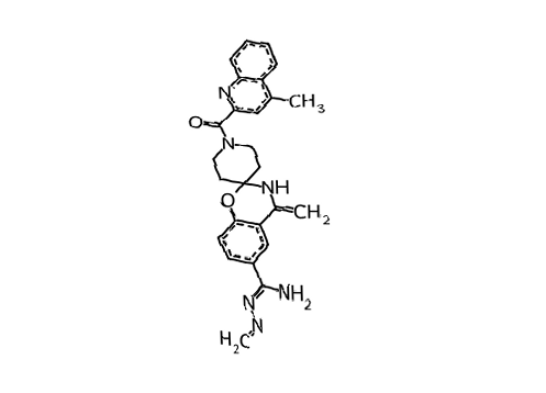 C=N/N=C(\N)c1ccc2c(c1)C(=C)NC1(CCN(C(=O)c3cc(C)c4ccccc4n3)CC1)O2